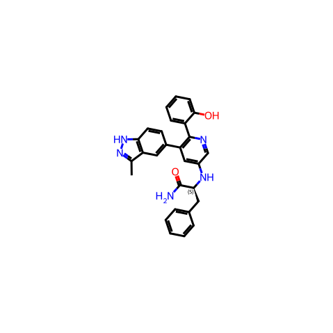 Cc1n[nH]c2ccc(-c3cc(N[C@@H](Cc4ccccc4)C(N)=O)cnc3-c3ccccc3O)cc12